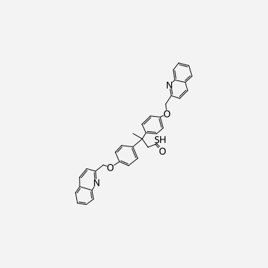 CC(CC(=O)S)(c1ccc(OCc2ccc3ccccc3n2)cc1)c1ccc(OCc2ccc3ccccc3n2)cc1